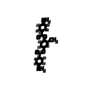 Cc1cc(OC(=O)c2ccc(N)cc2)ccc1OC(=O)c1ccc(N)cc1